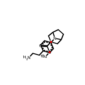 CC(C)(C)OC(=O)N1CC2CCC(C1)N2c1ccc(CCN)cc1